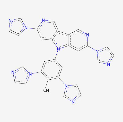 N#Cc1c(-n2ccnc2)cc(-n2c3cc(-n4ccnc4)ncc3c3cnc(-n4ccnc4)cc32)cc1-n1ccnc1